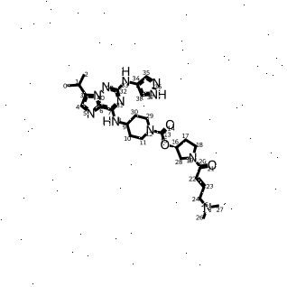 CC(C)c1cnc2c(NC3CCN(C(=O)O[C@H]4CCN(C(=O)/C=C/CN(C)C)C4)CC3)nc(Nc3cn[nH]c3)nn12